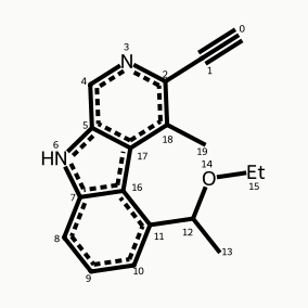 C#Cc1ncc2[nH]c3cccc(C(C)OCC)c3c2c1C